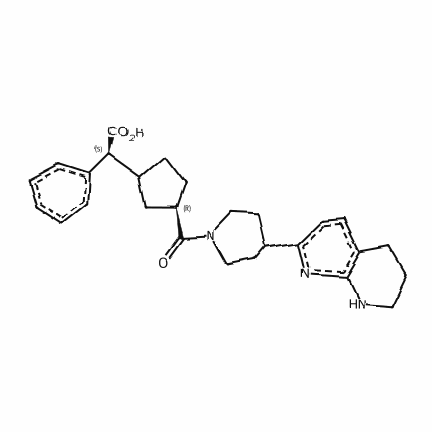 O=C(O)[C@H](c1ccccc1)C1CC[C@@H](C(=O)N2CCC(c3ccc4c(n3)NCCC4)CC2)C1